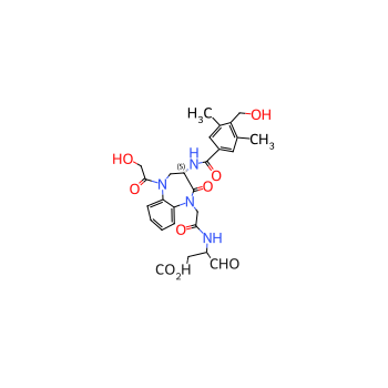 Cc1cc(C(=O)N[C@H]2CN(C(=O)CO)c3ccccc3N(CC(=O)NC(C=O)CC(=O)O)C2=O)cc(C)c1CO